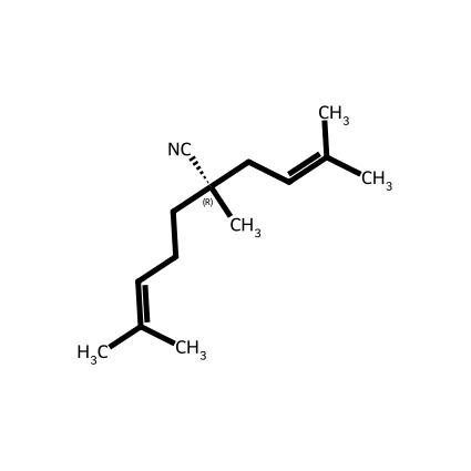 CC(C)=CCC[C@@](C)(C#N)CC=C(C)C